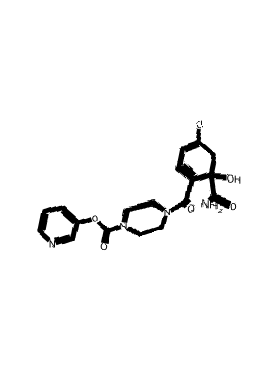 NC(=O)C1(O)CC(Cl)=CC=C1C(=O)N1CCN(C(=O)Oc2cccnc2)CC1